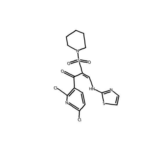 O=C(C(=CNc1nccs1)S(=O)(=O)N1CCCCC1)c1ccc(Cl)nc1Cl